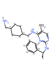 C[C@H](Nc1ncc([N+](=O)[O-])c(NCC2CCC(CN)CC2)n1)c1ccccc1